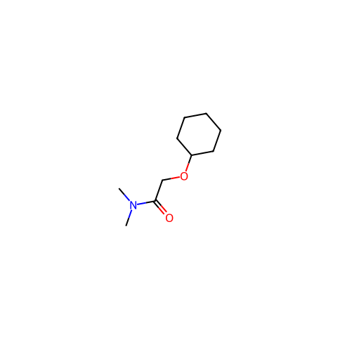 CN(C)C(=O)COC1CCCCC1